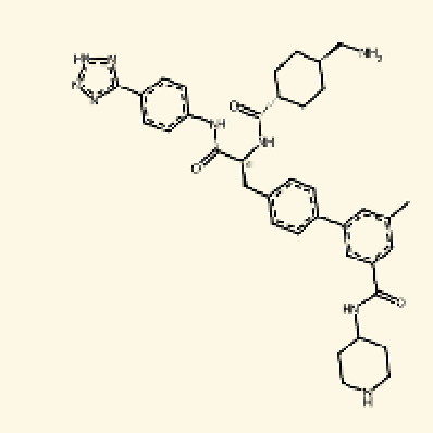 Cc1cc(C(=O)NC2CCNCC2)cc(-c2ccc(C[C@H](NC(=O)[C@H]3CC[C@H](CN)CC3)C(=O)Nc3ccc(-c4nn[nH]n4)cc3)cc2)c1